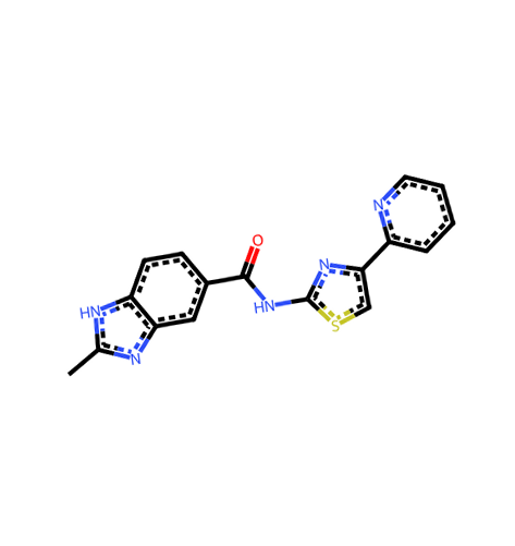 Cc1nc2cc(C(=O)Nc3nc(-c4ccccn4)cs3)ccc2[nH]1